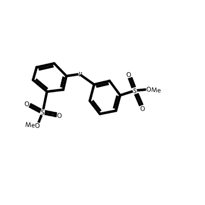 COS(=O)(=O)c1cccc([I+]c2cccc(S(=O)(=O)OC)c2)c1